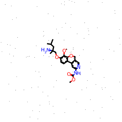 COC(=O)Nc1cc2c(cn1)COc1c-2ccc(OCC(C)(N)CC(C)C)c1OC